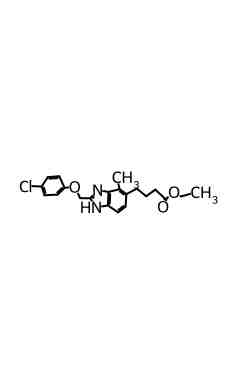 CCOC(=O)CCCc1ccc2[nH]c(COc3ccc(Cl)cc3)nc2c1C